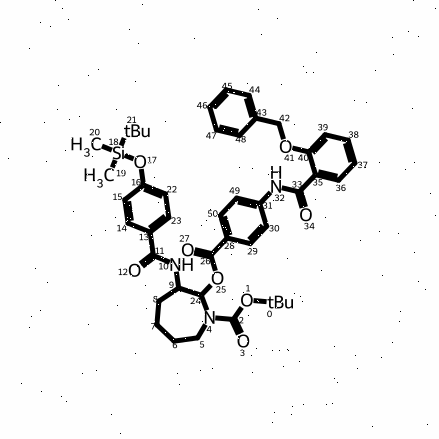 CC(C)(C)OC(=O)N1CCCCC(NC(=O)c2ccc(O[Si](C)(C)C(C)(C)C)cc2)C1OC(=O)c1ccc(NC(=O)c2ccccc2OCc2ccccc2)cc1